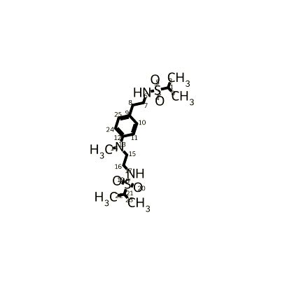 CC(C)S(=O)(=O)NCCc1ccc(N(C)CCNS(=O)(=O)C(C)C)cc1